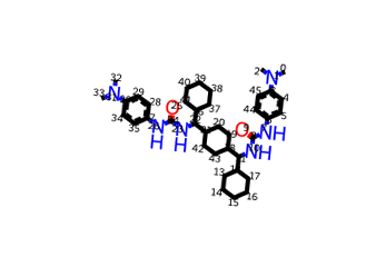 CN(C)c1ccc(NC(=O)NC(C2CCCCC2)C2CCC(C(NC(=O)Nc3ccc(N(C)C)cc3)C3CCCCC3)CC2)cc1